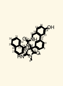 CN1C(=N)NC(C)(c2cccc(-c3cc(O)ccc3CNC(=O)Nc3cccc4ccccc34)c2)C1=O